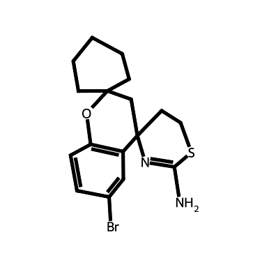 NC1=NC2(CCS1)CC1(CCCCC1)Oc1ccc(Br)cc12